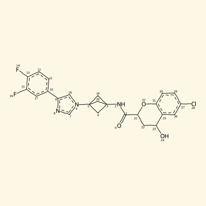 O=C(NC12CC(n3cnc(-c4ccc(F)c(F)c4)c3)(C1)C2)C1CC(O)c2cc(Cl)ccc2O1